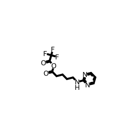 O=C(CCCCNc1ncccn1)OC(=O)C(F)(F)F